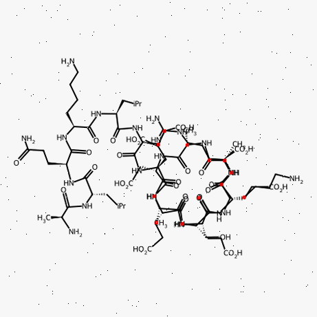 CC(C)C[C@H](NC(=O)[C@H](C)N)C(=O)N[C@@H](CCC(N)=O)C(=O)N[C@@H](CCCCN)C(=O)N[C@@H](CC(C)C)C(=O)N[C@@H](CCC(=O)O)C(=O)N[C@@H](CCC(=O)O)C(=O)N[C@@H](C)C(=O)N[C@@H](CCC(=O)O)C(=O)N[C@@H](CCCCN)C(=O)N[C@@H](C)C(=O)N[C@@H](C)C(=O)N[C@@H](CC(=O)O)C(=O)N[C@@H](CCC(=O)O)C(=O)N[C@@H](CO)C(=O)N[C@@H](CCC(=O)O)C(=O)N[C@@H](CCCNC(=N)N)C(=O)O